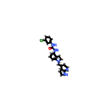 O=C(Nc1cccc(Cl)c1)Nc1cccc2c1CCN2Cc1ccnc2[nH]ccc12